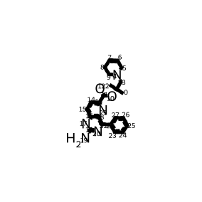 CC(C)(CN1CC=CCC1)OC(=O)c1ccc2nc(N)nc(-c3ccccc3)c2n1